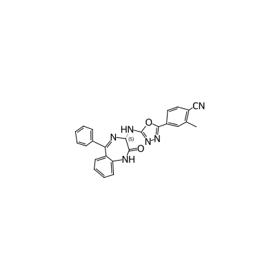 Cc1cc(-c2nnc(N[C@H]3N=C(c4ccccc4)c4ccccc4NC3=O)o2)ccc1C#N